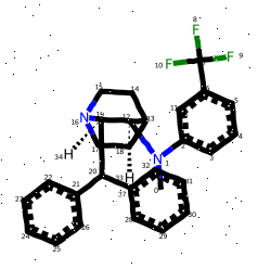 CN(c1cccc(C(F)(F)F)c1)[C@@H]1C2CCN(CC2)[C@@H]1C(c1ccccc1)c1ccccc1